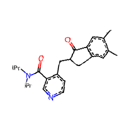 Cc1cc2c(cc1C)C(=O)C(Cc1ccncc1C(=O)N(C(C)C)C(C)C)C2